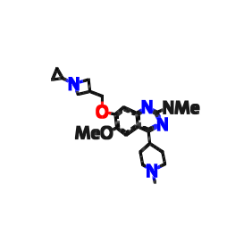 CNc1nc(C2CCN(C)CC2)c2cc(OC)c(OCC3CN(C4CC4)C3)cc2n1